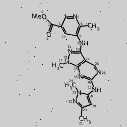 COC(=O)c1cnc(C)c(Nc2nn(C)c3nc(Nc4cc(C)nn4C)ncc23)c1